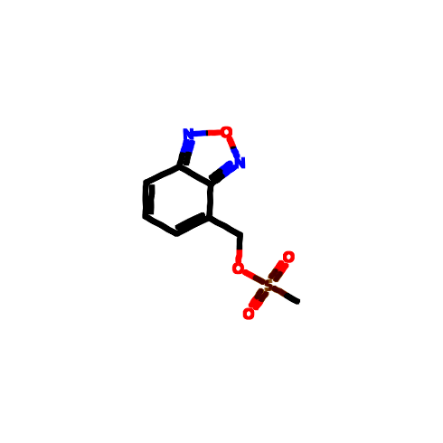 CS(=O)(=O)OCc1cccc2nonc12